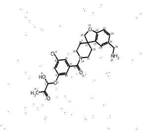 CC(=O)C(O)Oc1cc(Cl)cc(C(=O)N2CCC3(CC2)COc2ccc(CN)cc23)c1